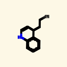 N#CCCC1C=CNc2ccccc21